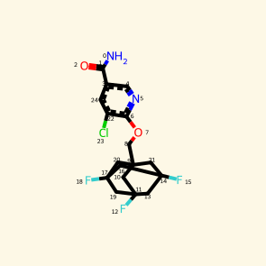 NC(=O)c1cnc(OCC23CC4(F)CC(F)(CC(F)(C4)C2)C3)c(Cl)c1